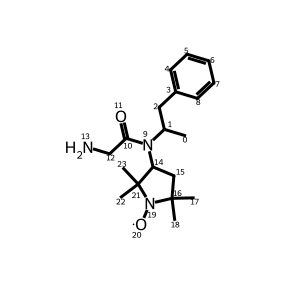 CC(Cc1ccccc1)N(C(=O)CN)C1CC(C)(C)N([O])C1(C)C